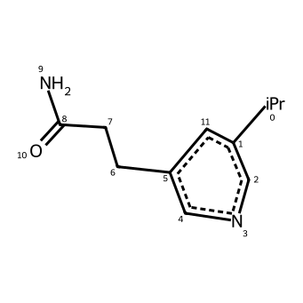 CC(C)c1cncc(CCC(N)=O)c1